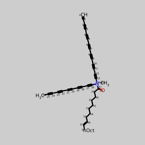 C#CC#CC#CC#CC#CC#CC#C[N+](C)(C#CC#CC#CC#CC#CC)C(=O)CCCCCCC/C=C/CCCCCCCC